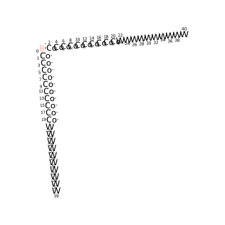 [B].[Co].[Co].[Co].[Co].[Co].[Co].[Co].[Co].[Co].[Co].[Co].[Co].[Co].[Co].[Co].[Co].[Co].[Co].[Co].[Co].[W].[W].[W].[W].[W].[W].[W].[W].[W].[W].[W].[W].[W].[W].[W].[W].[W].[W].[W].[W]